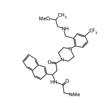 CNCC(=O)NC(CC(=O)N1CCN(c2ccc(C(F)(F)F)cc2CNCC(C)OC)CC1)c1ccc2ccccc2c1